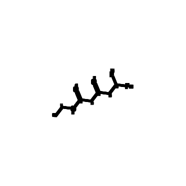 CCOC(=O)CC(=O)CC(F)F